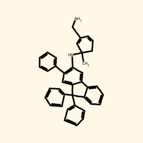 CC1(Nc2cc3c(cc2-c2ccccc2)C(c2ccccc2)(c2ccccc2)c2ccccc2-3)C=C(CN)C=CC1